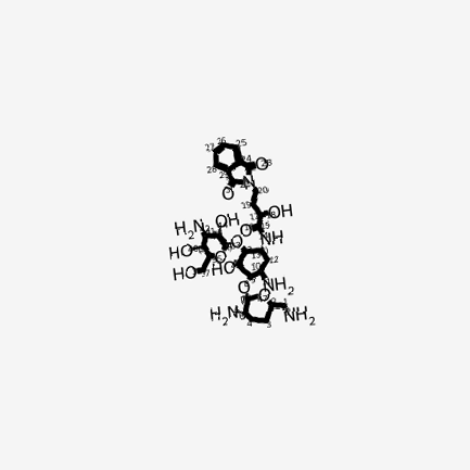 NCC1CC[C@H](N)[C@@H](OC2C(N)C[C@@H](NC(=O)C(O)CCN3C(=O)c4ccccc4C3=O)C(O[C@@H]3OC(CO)[C@@H](O)C(N)[C@@H]3O)[C@H]2O)O1